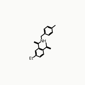 C=C(C)c1ccc(CC)cc1C(=C)NCc1ccc(C)cc1